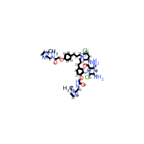 Cn1ccnc1CNC(=O)COc1ccc(CCC[N+]2(CCCc3ccc(OCC(=O)NCc4nccn4C)cc3)CCC[C@H](NC(=O)c3nc(Cl)c(N)nc3N)C2)cc1.[Cl-]